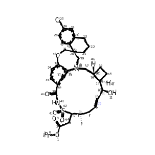 CC(C)OC(=O)CC1[C@@H](C)C/C=C/[C@H](O)[C@@H]2CC[C@H]2CN2C[C@@]3(CCCc4cc(Cl)ccc43)COc3ccc(cc32)C(=O)NS1(=O)=O